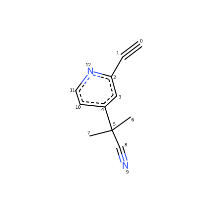 C#Cc1cc(C(C)(C)C#N)ccn1